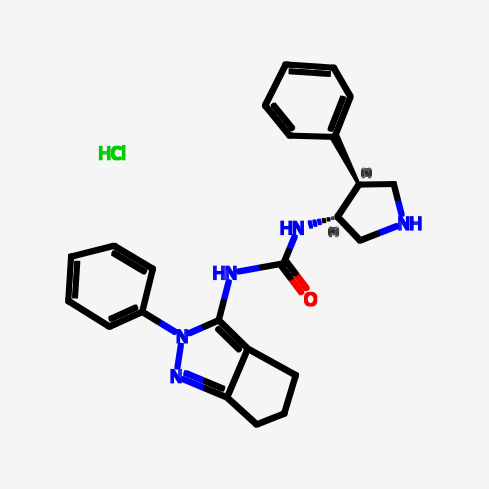 Cl.O=C(Nc1c2c(nn1-c1ccccc1)CCC2)N[C@H]1CNC[C@@H]1c1ccccc1